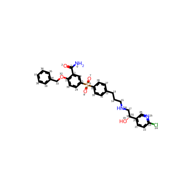 NC(=O)c1cc(S(=O)(=O)c2ccc(CCCNC[C@@H](O)c3ccc(Cl)nc3)cc2)ccc1OCc1ccccc1